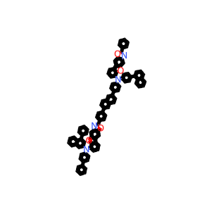 c1ccc(-c2ccc(N(c3cc(-c4ccccc4)c4ccccc4c3)c3cccc4c3oc3cc5nc(-c6ccc(-c7ccc8cc(-c9ccc(N(c%10ccc(-c%11cccc%12ccccc%11%12)cc%10)c%10cccc%11c%10oc%10cc%12nc(-c%13ccccc%13)oc%12cc%10%11)cc9)ccc8c7)cc6)oc5cc34)cc2)cc1